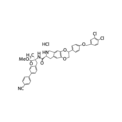 COC(=O)[C@](C)(Cc1ccc(-c2ccc(C#N)cc2)cc1)NC(=O)[C@@H]1Cc2cc3c(cc2CN1)OC(c1ccc(OCc2ccc(Cl)c(Cl)c2)cc1)CO3.Cl